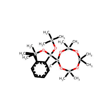 C=Cc1ccccc1[Si](O[Si](C)(C)C)(O[Si](C)(C)C)[Si]1(C)O[Si](C)(C)O[Si](C)(C)O[Si](C)(C)O1